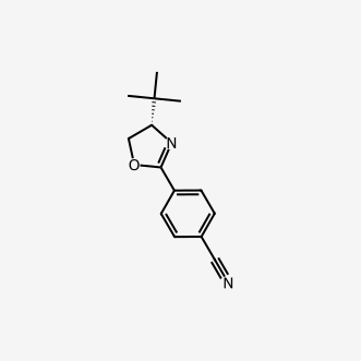 CC(C)(C)[C@H]1COC(c2ccc(C#N)cc2)=N1